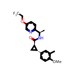 COc1ccc([C@@H]2C[C@H]2C(=O)N[C@H](C)c2ccc(OCC(F)(F)F)cn2)cc1C